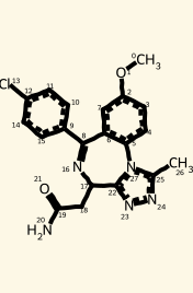 COc1ccc2c(c1)C(c1ccc(Cl)cc1)=NC(CC(N)=O)c1nnc(C)n1-2